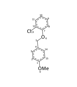 COc1ccc(COc2ccccc2Cl)cc1